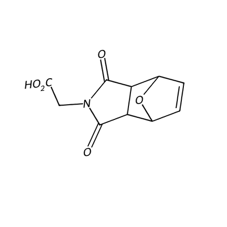 O=C(O)CN1C(=O)C2C3C=CC(O3)C2C1=O